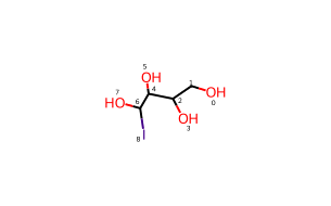 OCC(O)C(O)C(O)I